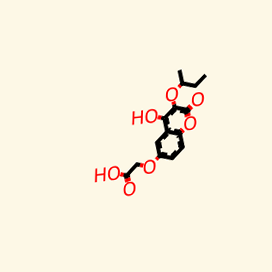 CCC(C)Oc1c(O)c2cc(OCC(=O)O)ccc2oc1=O